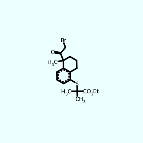 CCOC(=O)C(C)(C)Sc1cccc2c1CCCC2(C)C(=O)CBr